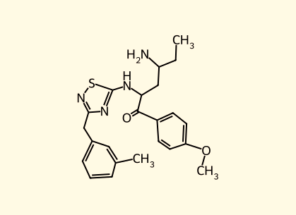 CCC(N)CC(Nc1nc(Cc2cccc(C)c2)ns1)C(=O)c1ccc(OC)cc1